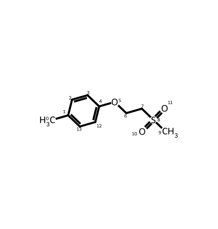 Cc1ccc(OCCS(C)(=O)=O)cc1